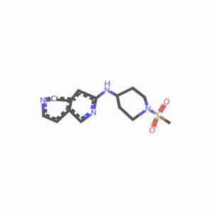 CS(=O)(=O)N1CCC(Nc2cc3cnccc3cn2)CC1